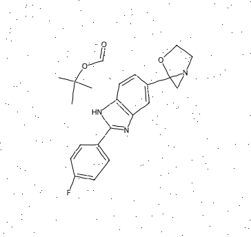 CC(C)(C)OC=O.Fc1ccc(-c2nc3cc(C45CN4CCO5)ccc3[nH]2)cc1